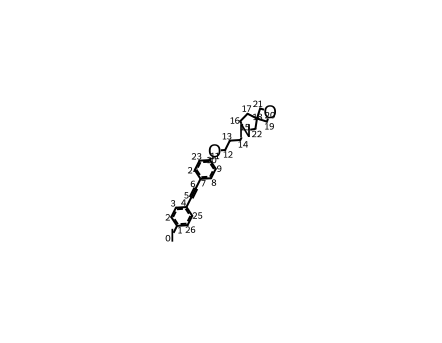 Ic1ccc(C#Cc2ccc(OCCCN3CCC4(COC4)C3)cc2)cc1